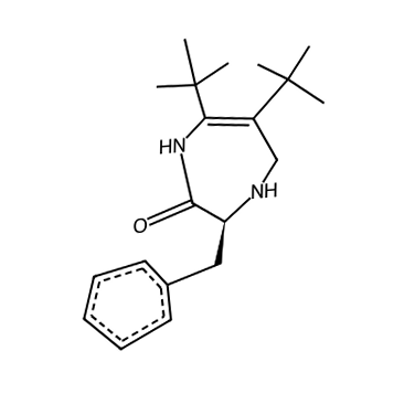 CC(C)(C)C1=C(C(C)(C)C)NC(=O)[C@H](Cc2ccccc2)NC1